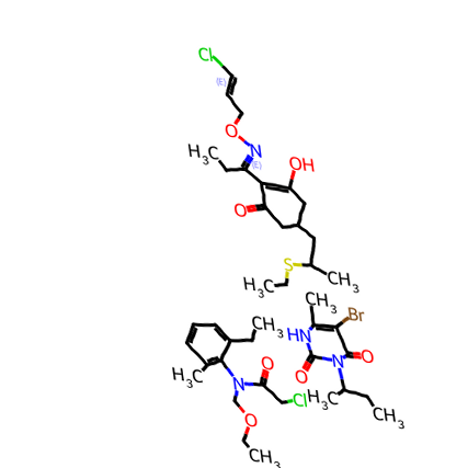 CCC(C)n1c(=O)[nH]c(C)c(Br)c1=O.CCOCN(C(=O)CCl)c1c(C)cccc1CC.CCSC(C)CC1CC(=O)C(/C(CC)=N/OC/C=C/Cl)=C(O)C1